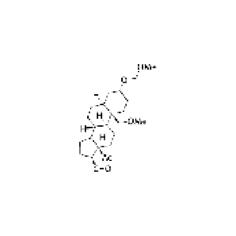 COCO[C@@H]1CC[C@@]2(COC)[C@@H](CC[C@@H]3[C@@H]2CC[C@]2(C(C)=O)[C@@H](C=O)CC[C@@H]32)C1